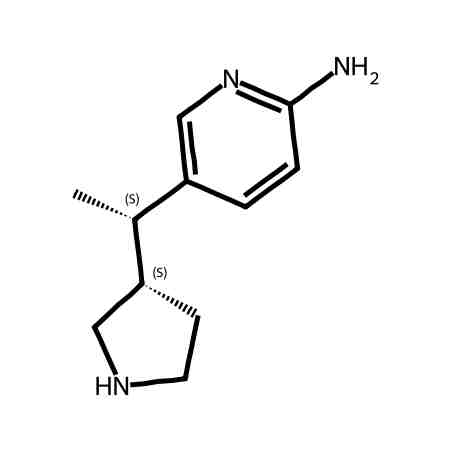 C[C@H](c1ccc(N)nc1)[C@@H]1CCNC1